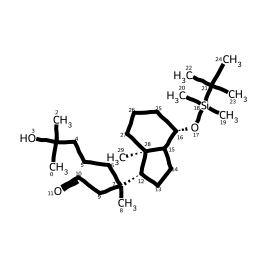 CC(C)(O)CCCC(C)(CC=O)[C@H]1CCC2[C@@H](O[Si](C)(C)C(C)(C)C)CCC[C@@]21C